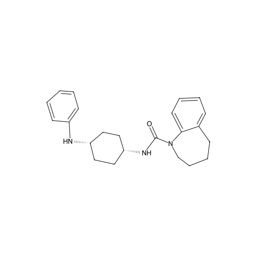 O=C(N[C@H]1CC[C@@H](Nc2ccccc2)CC1)N1CCCCc2ccccc21